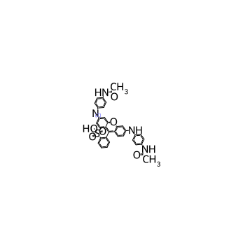 CC(=O)Nc1ccc(/N=c2/ccc3c(-c4ccccc4S(=O)(=O)O)c4ccc(Nc5ccc(NC(C)=O)cc5)cc4oc-3c2)cc1